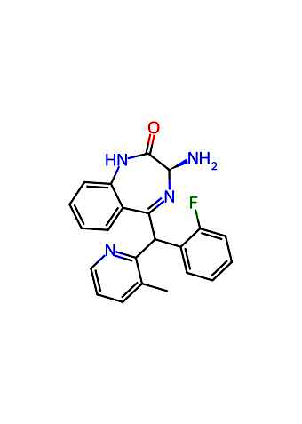 Cc1cccnc1C(C1=N[C@H](N)C(=O)Nc2ccccc21)c1ccccc1F